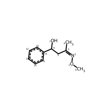 CO/N=C(/C)CC(O)c1ccccc1